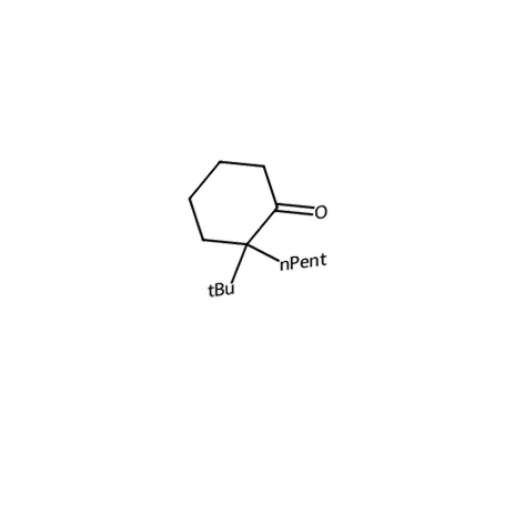 CCCCCC1(C(C)(C)C)CCCCC1=O